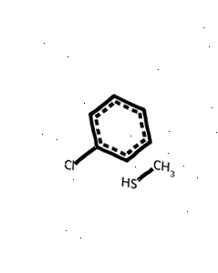 CS.Clc1ccccc1